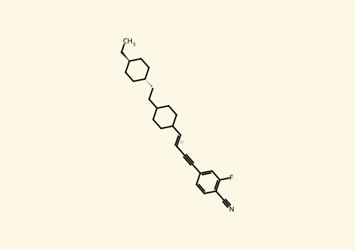 CC[C@H]1CC[C@H](CCC2CCC(/C=C/C#Cc3ccc(C#N)c(F)c3)CC2)CC1